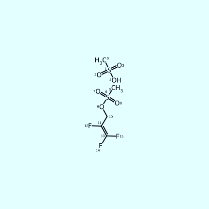 CS(=O)(=O)O.CS(=O)(=O)OCC(F)=C(F)F